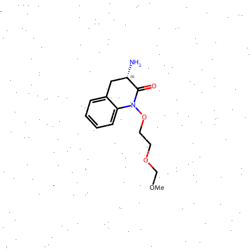 COCOCCON1C(=O)[C@@H](N)Cc2ccccc21